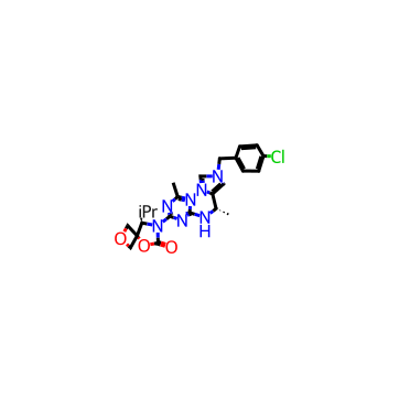 Cc1nc(N[C@@H](C)c2cn(Cc3ccc(Cl)cc3)cn2)nc(N2C(=O)OC3(COC3)[C@@H]2C(C)C)n1